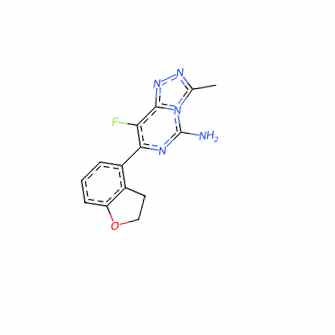 Cc1nnc2c(F)c(-c3cccc4c3CCO4)nc(N)n12